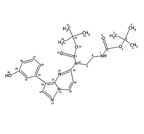 CC(C)(C)OC(=O)NCCN(C(=O)OC(C)(C)C)c1ccn2ncc(-c3cccc(O)c3)c2n1